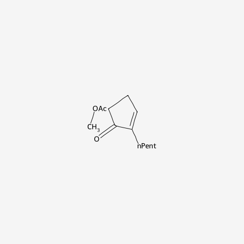 CCCCCC1=CCCC1=O.COC(C)=O